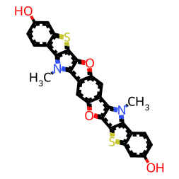 Cn1c2c3cc4oc5c6sc7cc(O)ccc7c6n(C)c5c4cc3oc2c2sc3cc(O)ccc3c21